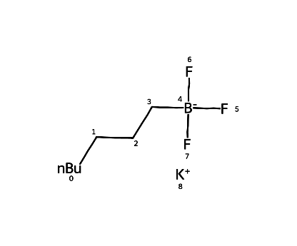 CCCCCCC[B-](F)(F)F.[K+]